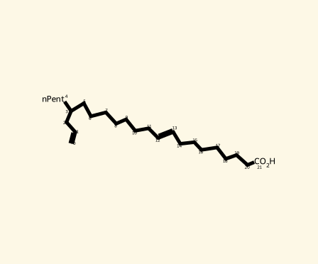 C=CCC(CCCCC)CCCCCCCC=CCCCCCCCC(=O)O